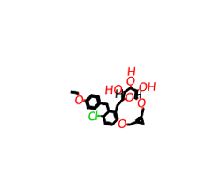 CCOc1ccc(CC2C3=C(C=CC2Cl)OCC2=C(CO[C@@H]4O[C@@H](C3)[C@H](O)[C@@H](O)[C@@H]4O)C2)cc1